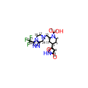 O=C(O)N1CCC(c2cc(=O)[nH]o2)CC1CN1CCn2c(nnc2C(F)(F)F)C1